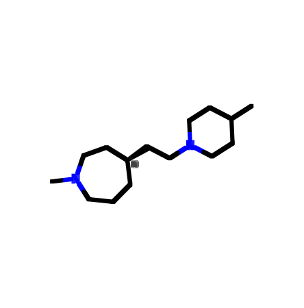 CC1CCN(CC[C@H]2CCCN(C)CC2)CC1